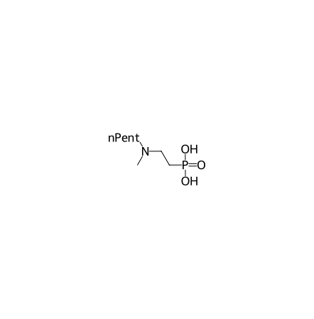 CCCCCN(C)CCP(=O)(O)O